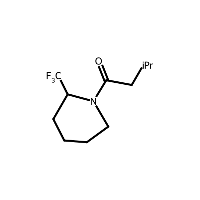 CC(C)CC(=O)N1CCCCC1C(F)(F)F